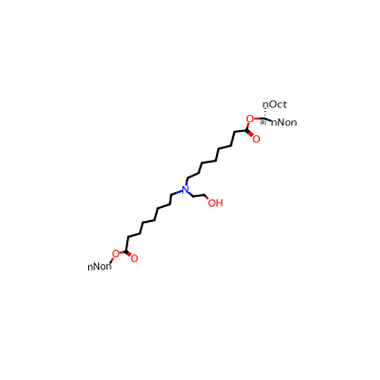 CCCCCCCCCOC(=O)CCCCCCCN(CCO)CCCCCCCC(=O)O[C@H](CCCCCCCC)CCCCCCCCC